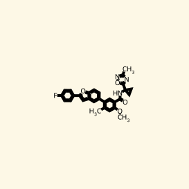 COc1cc(C)c(-c2ccc3oc(-c4ccc(F)cc4)cc3c2)cc1C(=O)NC1(c2nc(C)no2)CC1